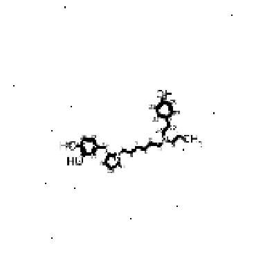 CCCN(CCCCCCN1CCC[C@@H]1Cc1ccc(O)c(O)c1)CCc1ccc(O)cc1